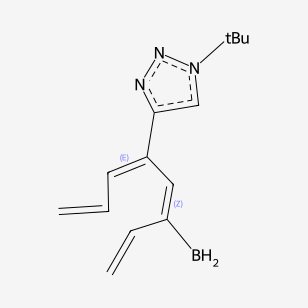 B/C(C=C)=C/C(=C\C=C)c1cn(C(C)(C)C)nn1